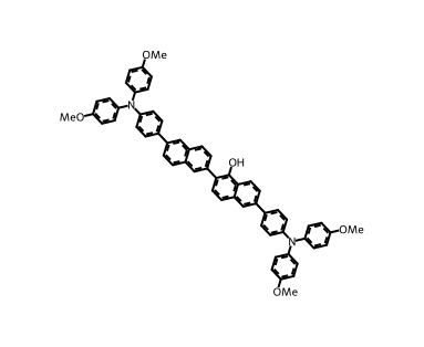 COc1ccc(N(c2ccc(OC)cc2)c2ccc(-c3ccc4cc(-c5ccc6cc(-c7ccc(N(c8ccc(OC)cc8)c8ccc(OC)cc8)cc7)ccc6c5O)ccc4c3)cc2)cc1